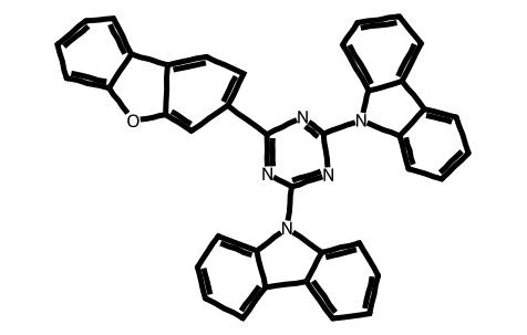 c1ccc2c(c1)oc1cc(-c3nc(-n4c5ccccc5c5ccccc54)nc(-n4c5ccccc5c5ccccc54)n3)ccc12